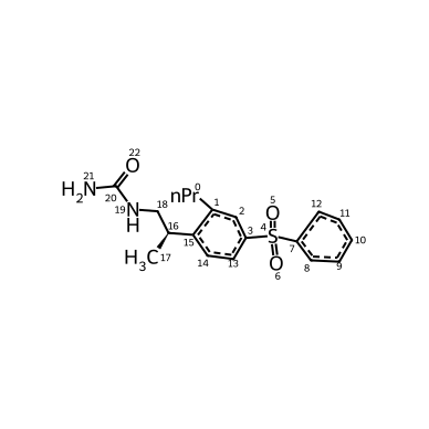 CCCc1cc(S(=O)(=O)c2ccccc2)ccc1[C@@H](C)CNC(N)=O